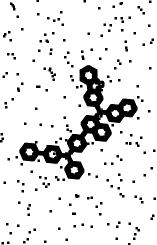 c1ccc(-c2ccc(N(c3ccccc3)c3ccc(-c4ccc(N(c5ccc6ccccc6c5)c5ccc6c(c5)oc5ccccc56)c5ccccc45)cc3)cc2)cc1